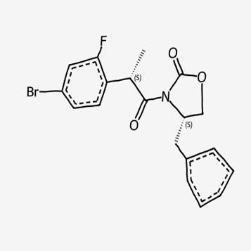 C[C@H](C(=O)N1C(=O)OC[C@@H]1Cc1ccccc1)c1ccc(Br)cc1F